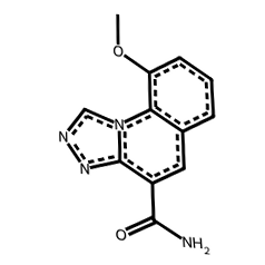 COc1cccc2cc(C(N)=O)c3nncn3c12